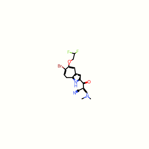 CN(C)/C=C(\C#N)C(=O)c1cc2c([nH]1)CC=C(Br)C(OCC(F)F)=C2